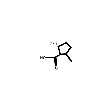 CC1CCCC1C(=O)O.[GaH3]